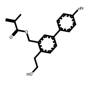 C=C(C)C(=O)OCc1cc(-c2ccc(CCC)cc2)ccc1CCO